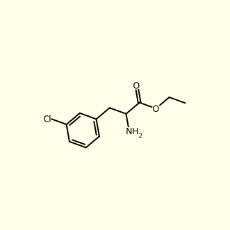 CCOC(=O)C(N)Cc1cccc(Cl)c1